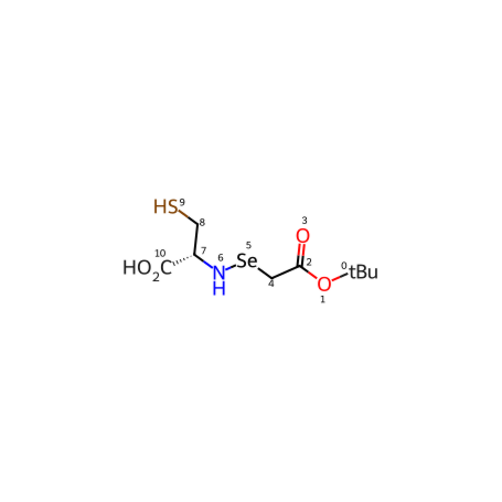 CC(C)(C)OC(=O)C[Se]N[C@@H](CS)C(=O)O